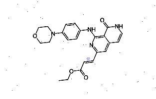 CCOC(=O)/C=C/c1cc2cc[nH]c(=O)c2c(Nc2ccc(N3CCOCC3)cc2)n1